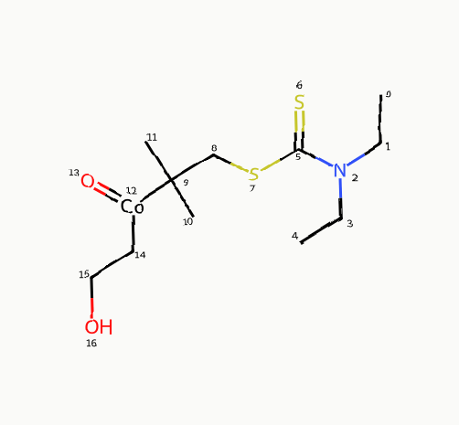 CCN(CC)C(=S)SC[C](C)(C)[Co](=[O])[CH2]CO